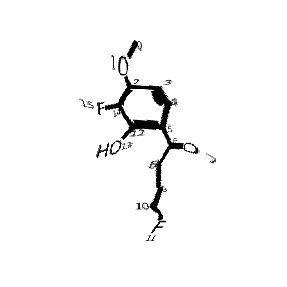 COc1ccc(C(=O)CCCF)c(O)c1F